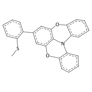 CSc1ccccc1-c1cc2c3c(c1)Oc1ccccc1N3c1ccccc1O2